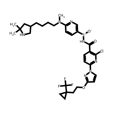 CN(CCCCC1CNC(C)(C)C1)c1ccc([S+]([O-])NC(=O)c2ccc(-n3ccc(OCCC4(C(F)(F)F)CC4)n3)nc2Cl)cn1